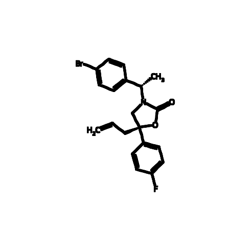 C=CC[C@@]1(c2ccc(F)cc2)CN([C@@H](C)c2ccc(Br)cc2)C(=O)O1